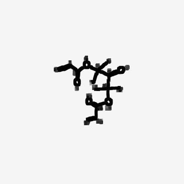 C=CC(=O)OC(C)(C)C(=O)C(C)(C)OC(=O)C=C